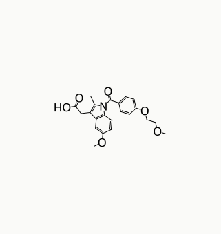 COCCOc1ccc(C(=O)n2c(C)c(CC(=O)O)c3cc(OC)ccc32)cc1